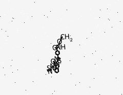 C=CCOCCNC(=O)c1ccc(-c2csc(N3N=C(c4ccccc4)/C(=N\Nc4nccs4)C3=O)n2)cc1